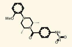 COc1ccccc1N1C[C@@H](C)N(C(=O)c2ccc(N[SH](=O)=O)cc2)[C@@H](C)C1